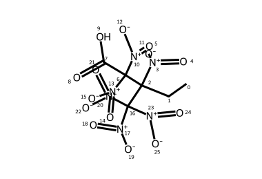 CCC([N+](=O)[O-])(C(C(=O)O)([N+](=O)[O-])[N+](=O)[O-])C([N+](=O)[O-])([N+](=O)[O-])[N+](=O)[O-]